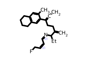 C=C=C(CCC(=C)C(CC)/N=C\C=C/CF)c1cc2c(cc1C)CCCC2